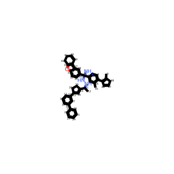 CC1=C(c2ccc(C(N)(NNC(C)C3=C=C(c4cccc(-c5ccccc5)c4)CC3)c3ccc4oc5c(c4c3)C=CCC5)cc2C)C=CC1